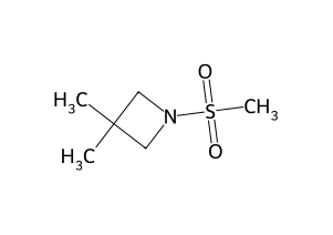 CC1(C)CN(S(C)(=O)=O)C1